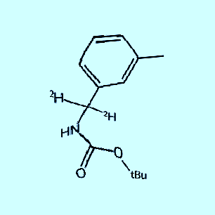 [2H]C([2H])(NC(=O)OC(C)(C)C)c1cccc(C)c1